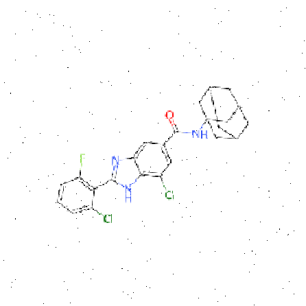 O=C(NC12CC3CC(CC(C3)C1)C2)c1cc(Cl)c2[nH]c(-c3c(F)cccc3Cl)nc2c1